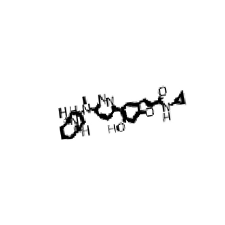 CN(c1ccc(-c2cc3cc(C(=O)NC4CC4)oc3cc2O)nn1)[C@H]1C[C@H]2CCC[C@@H](C1)N2